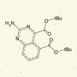 CC(C)(C)OC(=O)c1cccc2nc(N)nc(C(=O)OC(C)(C)C)c12